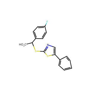 O=C(O)C(Sc1ncc(-c2ccccc2)s1)c1ccc(F)cc1